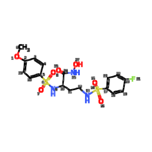 COc1ccc(S(=O)(=O)NC(CCNS(=O)(=O)c2ccc(F)cc2)C(=O)NO)cc1